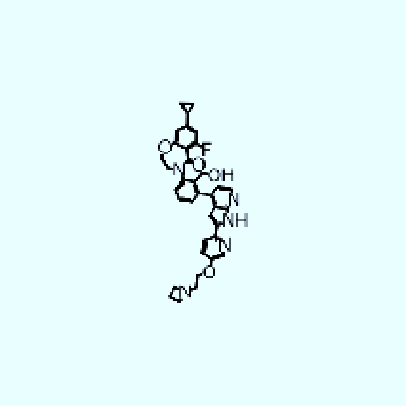 O=C1c2c(F)cc(C3CC3)cc2OCCN1c1cccc(-c2ccnc3[nH]c(-c4ccc(OCCN5CCC5)cn4)cc23)c1CO